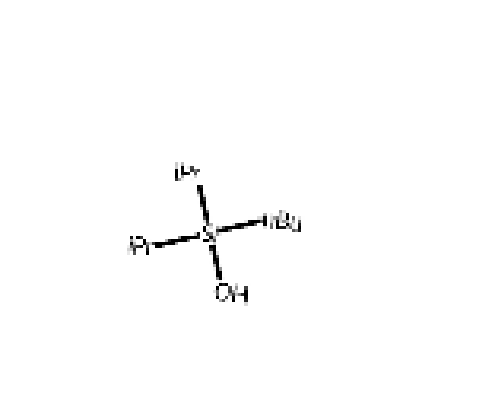 CCCC[Si](O)(C(C)C)C(C)C